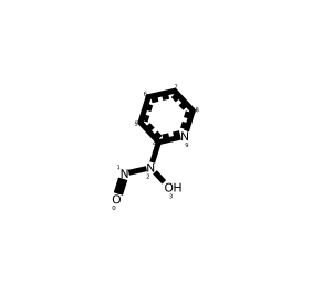 O=NN(O)c1ccccn1